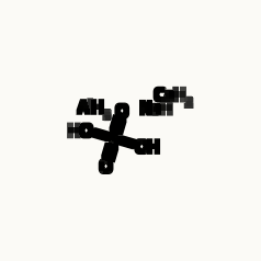 O=S(=O)(O)O.[AlH3].[CaH2].[NaH]